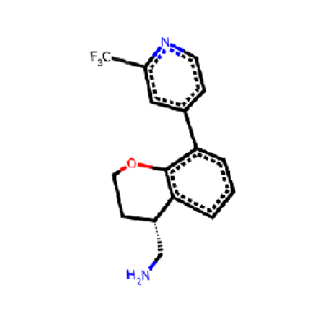 NC[C@@H]1CCOc2c(-c3ccnc(C(F)(F)F)c3)cccc21